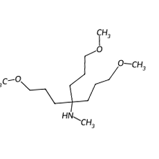 CNC(CCCOC)(CCCOC)CCCOC